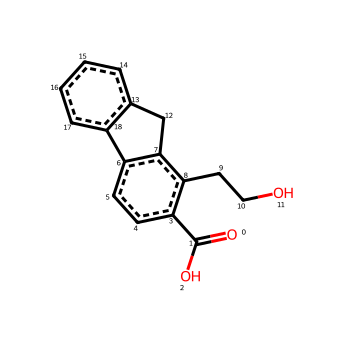 O=C(O)c1ccc2c(c1CCO)Cc1ccccc1-2